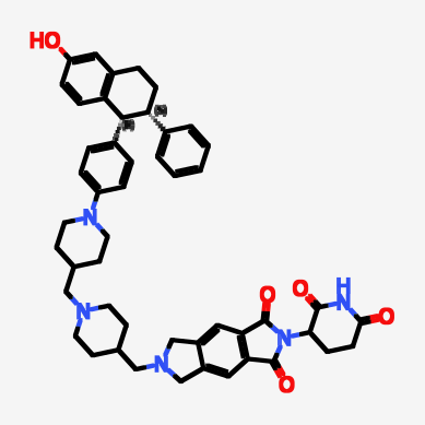 O=C1CCC(N2C(=O)c3cc4c(cc3C2=O)CN(CC2CCN(CC3CCN(c5ccc([C@@H]6c7ccc(O)cc7CC[C@@H]6c6ccccc6)cc5)CC3)CC2)C4)C(=O)N1